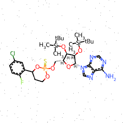 CC(C)(C)[Si](C)(C)O[C@@H]1[C@H](O[Si](C)(C)C(C)(C)C)[C@@H](COP2(=S)OCCC(c3cc(Cl)ccc3F)O2)O[C@H]1n1cnc2c(N)ncnc21